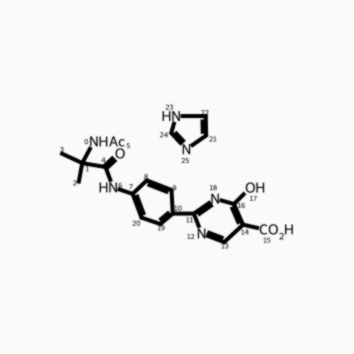 CC(=O)NC(C)(C)C(=O)Nc1ccc(-c2ncc(C(=O)O)c(O)n2)cc1.c1c[nH]cn1